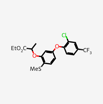 CCOC(=O)C(C)Oc1cc(Oc2ccc(C(F)(F)F)cc2Cl)ccc1SC